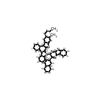 C=C/C=C\c1cc2c(cc1C)sc1c2c2ccccc2c2c3ccccc3n(-c3nc4sc5ccccc5c4nc3-c3ccc4ccccc4c3)c12